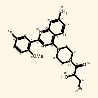 COc1ccc(F)cc1-c1nc(N2CCN(C(=O)C(O)CC(C)C)CC2)c2ccc(C)cc2n1